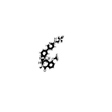 CN1C(=O)c2cccc(OC(F)F)c2[C@H]2C[C@@H]1c1nc3ccc(-c4ccc(NCP(C)(C)=O)nc4)cc3n12